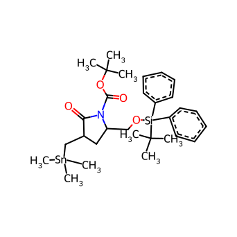 CC(C)(C)OC(=O)N1C(=O)C([CH2][Sn]([CH3])([CH3])[CH3])CC1CO[Si](c1ccccc1)(c1ccccc1)C(C)(C)C